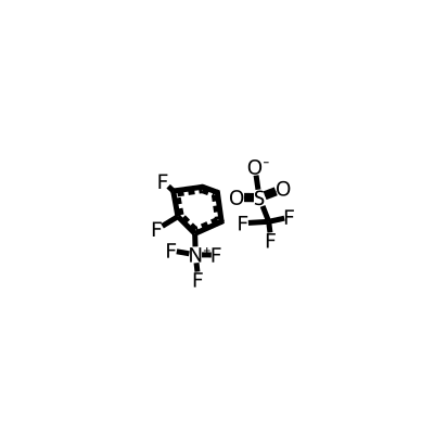 Fc1cccc([N+](F)(F)F)c1F.O=S(=O)([O-])C(F)(F)F